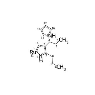 CCCc1cc[nH]c1CCC.[Ru].c1cc[nH]c1